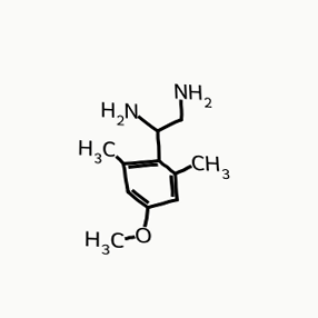 COc1cc(C)c(C(N)CN)c(C)c1